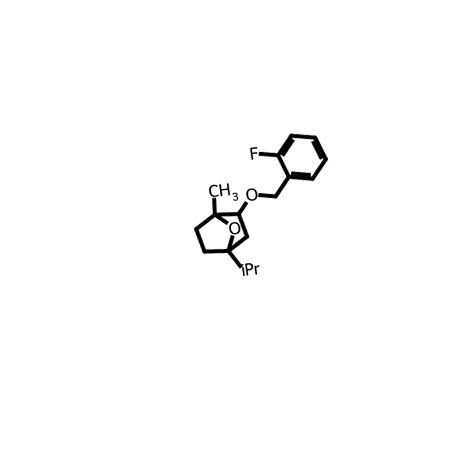 CC(C)C12CCC(C)(O1)C(OCc1ccccc1F)C2